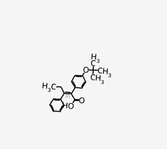 CC/C(=C(/C(=O)O)c1ccc(OC(C)(C)C)cc1)c1ccccc1